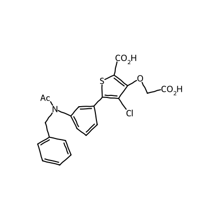 CC(=O)N(Cc1ccccc1)c1cccc(-c2sc(C(=O)O)c(OCC(=O)O)c2Cl)c1